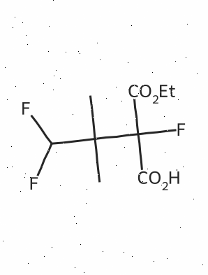 CCOC(=O)C(F)(C(=O)O)C(C)(C)C(F)F